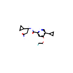 C[C@@H](CF)Oc1cc(C(=O)N[C@@](C)(CC(N)=O)C2CC2)ncc1C1CC1